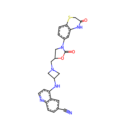 N#Cc1ccc2nccc(NC3CN(CC4CN(c5ccc6c(c5)NC(=O)CS6)C(=O)O4)C3)c2c1